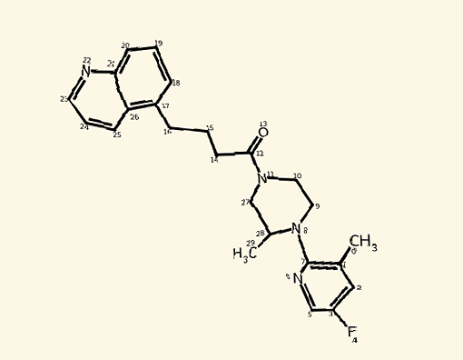 Cc1cc(F)cnc1N1CCN(C(=O)CCCc2cccc3ncccc23)CC1C